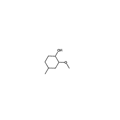 COC1CC(C)CCC1O